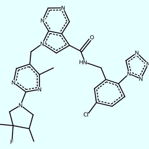 Cc1nc(N2CC(C)C(F)(F)C2)ncc1Cn1cc(C(=O)NCc2cc(Cl)ccc2-n2cnnn2)c2cncnc21